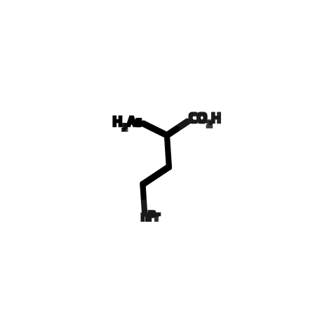 CCCCCC([AsH2])C(=O)O